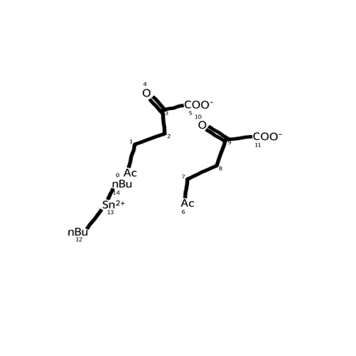 CC(=O)CCC(=O)C(=O)[O-].CC(=O)CCC(=O)C(=O)[O-].CCC[CH2][Sn+2][CH2]CCC